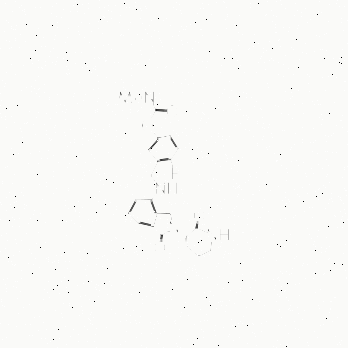 CNC(=O)Oc1ccc(F)c(CNc2cccc3c2CN([C@H]2CCCNC2=O)C3=O)c1